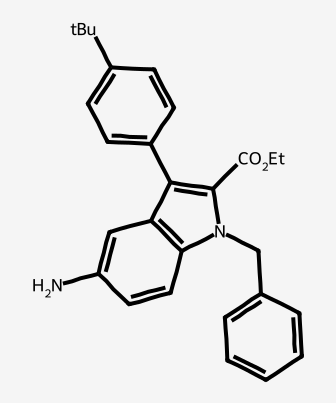 CCOC(=O)c1c(-c2ccc(C(C)(C)C)cc2)c2cc(N)ccc2n1Cc1ccccc1